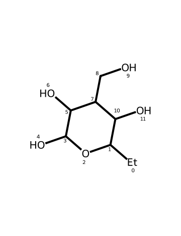 CCC1OC(O)C(O)C(CO)C1O